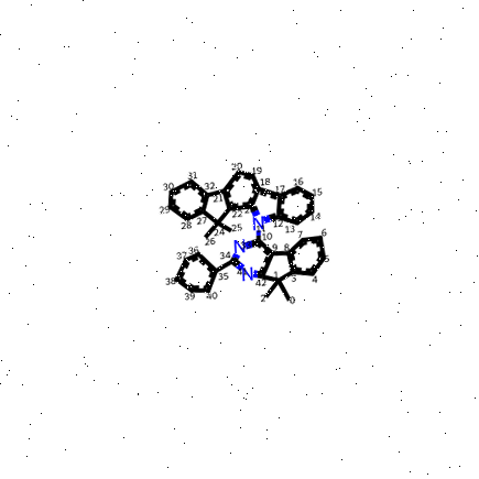 CC1(C)c2ccccc2-c2c(-n3c4ccccc4c4ccc5c(c43)C(C)(C)c3ccccc3-5)nc(-c3ccccc3)nc21